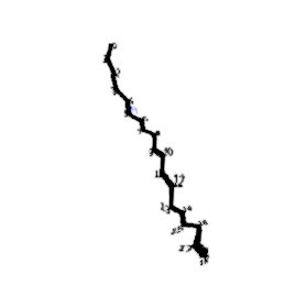 CCCC/C=C/CCCCCCCCCCCCC